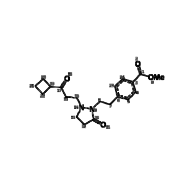 COC(=O)c1ccc(CCN2C(=O)CCN2CCC(=O)C2CCC2)cc1